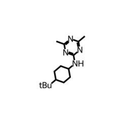 Cc1nc(C)nc(NC2CCC(C(C)(C)C)CC2)n1